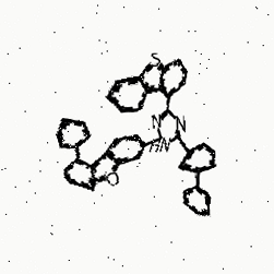 c1ccc(-c2cccc(C3=NC(c4cccc5sc6ccccc6c45)=NC(c4ccc5c(c4)oc4cccc(-c6ccccc6)c45)N3)c2)cc1